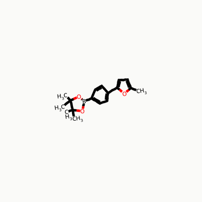 Cc1ccc(-c2ccc(B3OC(C)(C)C(C)(C)O3)cc2)o1